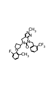 Cc1cccc(F)c1N1CCC(N2Cc3cn(C)nc3N(Cc3ccccc3C(F)(F)F)C2=O)C1